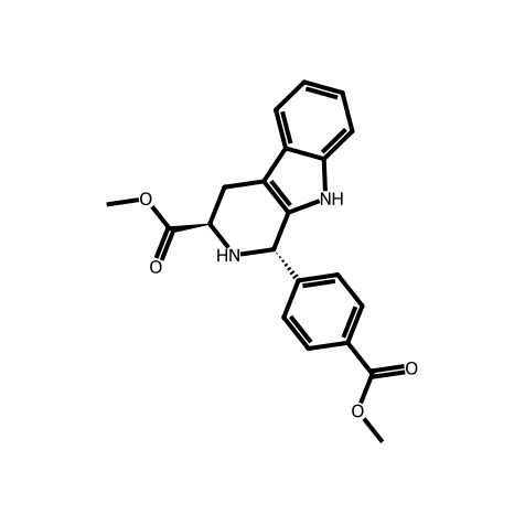 COC(=O)c1ccc([C@@H]2N[C@@H](C(=O)OC)Cc3c2[nH]c2ccccc32)cc1